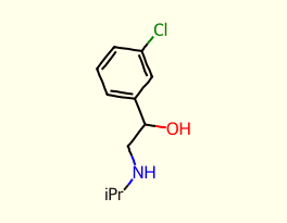 CC(C)NCC(O)c1cccc(Cl)c1